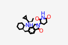 CC[C@@H](N[C@H]1CCCC[C@@H]1Cc1ccc2c(c1)CN(C1CCC(=O)NC1=O)C2=O)C1CC1